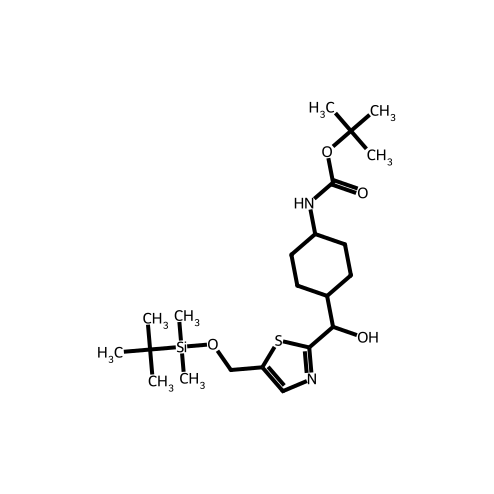 CC(C)(C)OC(=O)NC1CCC(C(O)c2ncc(CO[Si](C)(C)C(C)(C)C)s2)CC1